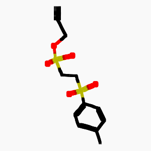 C#CCOS(=O)(=O)CCS(=O)(=O)c1ccc(C)cc1